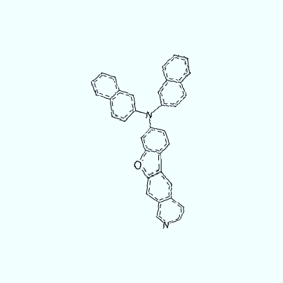 c1ccc2cc(N(c3ccc4ccccc4c3)c3ccc4c(c3)oc3cc5cnccc5cc34)ccc2c1